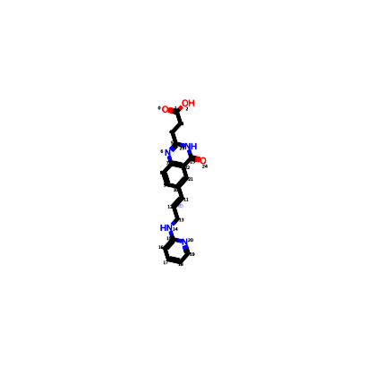 O=C(O)CCc1nc2ccc(/C=C/CNc3ccccn3)cc2c(=O)[nH]1